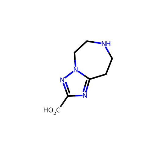 O=C(O)c1nc2n(n1)CCNCC2